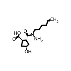 C=CCCCCN(N)C(=O)[C@@H]1C[C@H](O)C[C@H]1C(=O)O